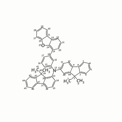 CC1(C)c2ccccc2-c2ccc(N(c3cccc(-c4cccc5c4oc4ccccc45)c3)c3cccc4c3C(C)(C)c3ccccc3-4)cc21